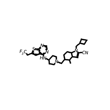 CC1C(CN2CCC(Nc3ncnc4sc(CC(F)(F)F)cc34)CC2)CCC2C1C=C(C#N)N2CC1CCC1